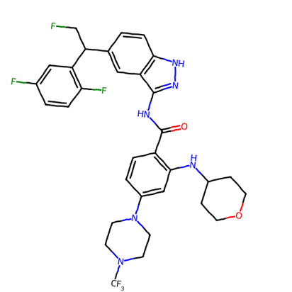 O=C(Nc1n[nH]c2ccc(C(CF)c3cc(F)ccc3F)cc12)c1ccc(N2CCN(C(F)(F)F)CC2)cc1NC1CCOCC1